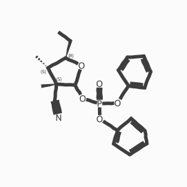 CC[C@H]1OC(OP(=O)(Oc2ccccc2)Oc2ccccc2)[C@](C)(C#N)[C@@H]1C